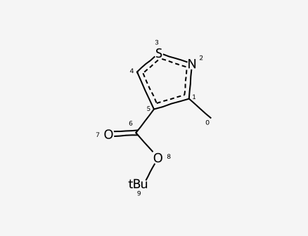 Cc1nscc1C(=O)OC(C)(C)C